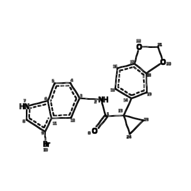 O=C(Nc1ccc2[nH]cc(Br)c2c1)C1(c2ccc3c(c2)OCO3)CC1